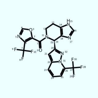 O=C(c1ocnc1C(F)(F)F)N1CCc2[nH]cnc2[C@H]1c1cc2cccc(C(F)(F)F)n2n1